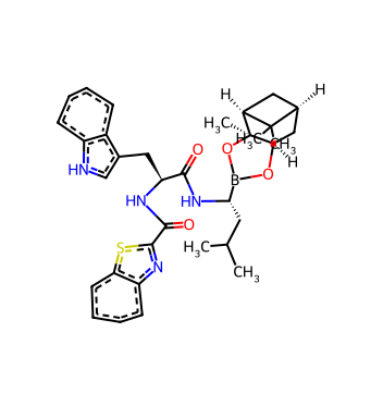 CC(C)C[C@H](NC(=O)[C@H](Cc1c[nH]c2ccccc12)NC(=O)c1nc2ccccc2s1)B1O[C@@H]2C[C@@H]3C[C@@H](C3(C)C)[C@]2(C)O1